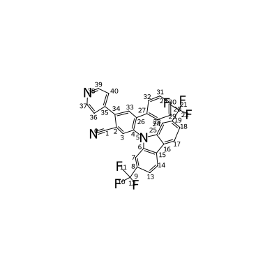 N#Cc1cc(-n2c3cc(C(F)(F)F)ccc3c3ccc(C(F)(F)F)cc32)c(-c2ccccc2)cc1-c1ccncc1